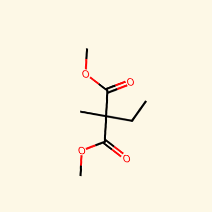 CCC(C)(C(=O)OC)C(=O)OC